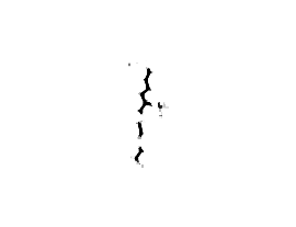 CC(=O)[O-].CCCCCCCCCCCCCCC(O)COCCOCCO.[Na+]